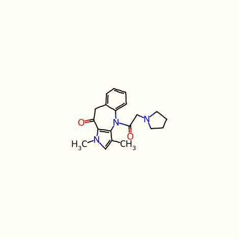 Cc1cn(C)c2c1N(C(=O)CN1CCCC1)c1ccccc1CC2=O